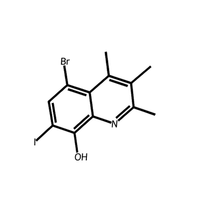 Cc1nc2c(O)c(I)cc(Br)c2c(C)c1C